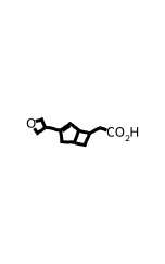 O=C(O)CC1CC2CC(C3COC3)=CC12